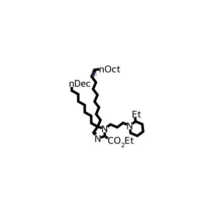 CCCCCCCC/C=C\CCCCCCCC1(CCCCCCCCCCCCCCCCC)C=NC(C(=O)OCC)N1CCCN1CCCCC1CC